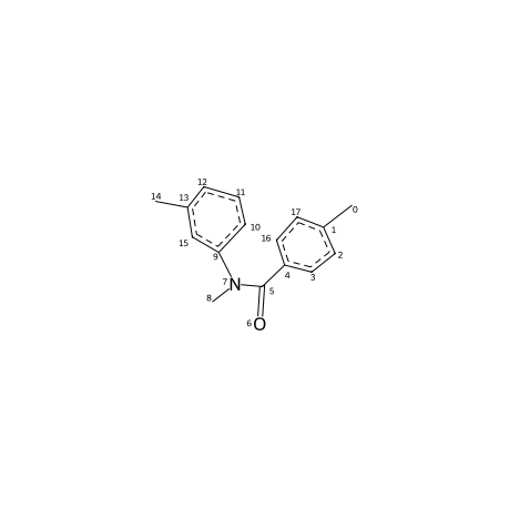 Cc1ccc(C(=O)N(C)c2cccc(C)c2)cc1